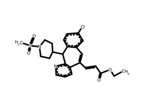 CCOC(=O)/C=C/C1=Cc2cc(Cl)ccc2C(C2CCN(S(C)(=O)=O)CC2)c2ncccc21